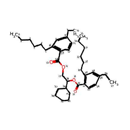 CCCCCCc1cc(CC)ccc1C(=O)OCC(OC(=O)c1ccc(CC)cc1CCCCCC)C1CCCCC1